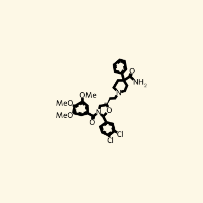 COc1cc(C(=O)N2C[C@@H](CCN3CCC(C(N)=O)(c4ccccc4)CC3)OC2c2ccc(Cl)c(Cl)c2)cc(OC)c1OC